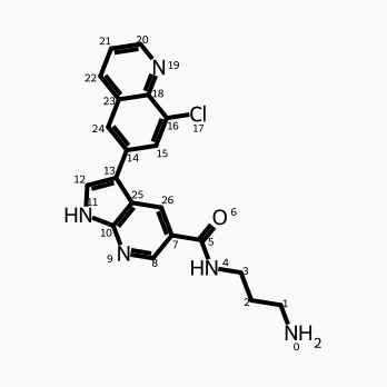 NCCCNC(=O)c1cnc2[nH]cc(-c3cc(Cl)c4ncccc4c3)c2c1